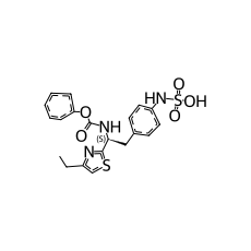 CCc1csc([C@H](Cc2ccc(NS(=O)(=O)O)cc2)NC(=O)Oc2ccccc2)n1